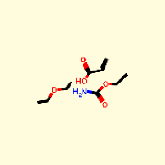 C=CC(=O)O.CCOC(N)=O.CCOCC